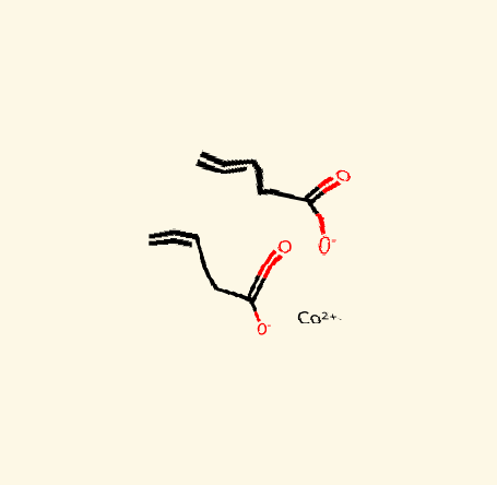 C=CCC(=O)[O-].C=CCC(=O)[O-].[Co+2]